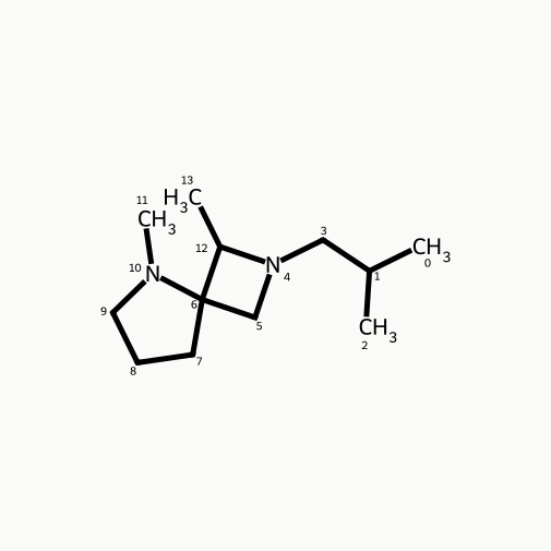 CC(C)CN1CC2(CCCN2C)C1C